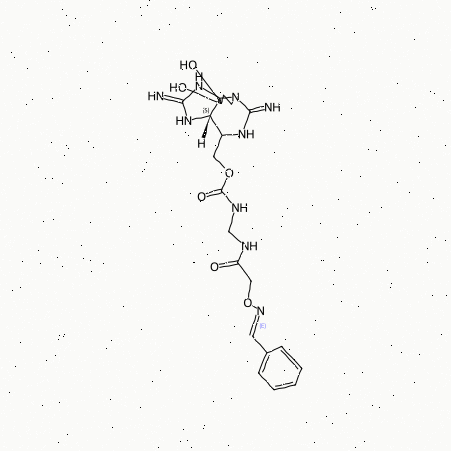 N=C1N[C@H]2C(COC(=O)NCNC(=O)CO/N=C/c3ccccc3)NC(=N)N3CCC(O)(O)C23N1